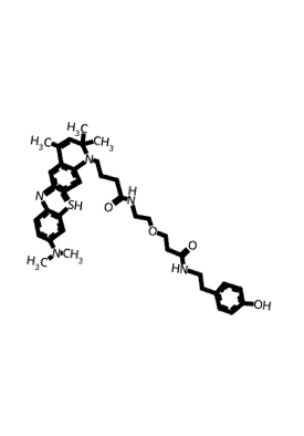 CC1=CC(C)(C)N(CCCC(=O)NCCOCCC(=O)NCCc2ccc(O)cc2)c2cc3c(cc21)=Nc1ccc(N(C)C)cc1[SH]=3